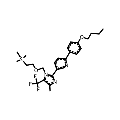 CCCCOc1ccc(-c2ccc(-c3nc(C)c(C(F)(F)F)n3COCC[Si](C)(C)C)cn2)cc1